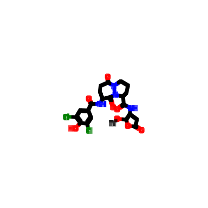 CCOC1OC(=O)CC1NC(=O)C1CCCN2C(=O)CCC(NC(=O)c3cc(Cl)c(O)c(Cl)c3)C(=O)N12